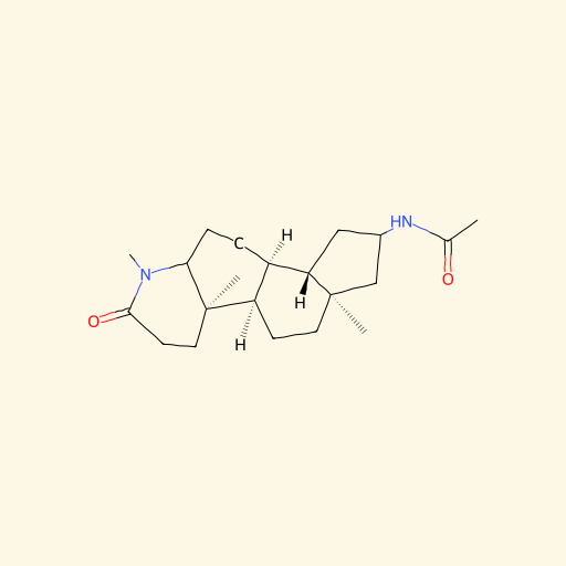 CC(=O)NC1C[C@H]2[C@@H]3CCC4N(C)C(=O)CC[C@]4(C)[C@@H]3CC[C@]2(C)C1